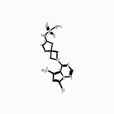 Cc1cc(Cl)n2ncnc(N3CC4(CCC(NS(N)(=O)=O)C4)C3)c12